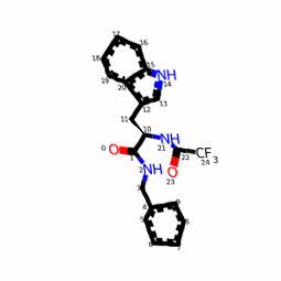 O=C(NCc1ccccc1)[C@@H](Cc1c[nH]c2ccccc12)NC(=O)C(F)(F)F